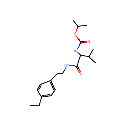 CCc1ccc(CCNC(=O)C(NC(=O)OC(C)C)C(C)C)cc1